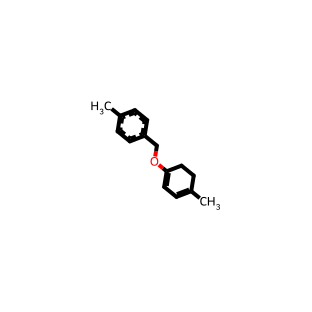 CC1=CC=C(OCc2ccc(C)cc2)CC1